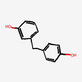 Oc1ccc(Cc2cccc(O)c2)cc1